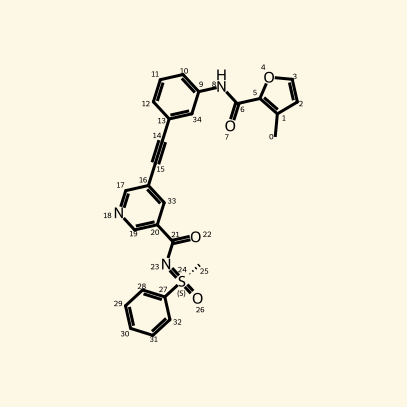 Cc1ccoc1C(=O)Nc1cccc(C#Cc2cncc(C(=O)N=[S@@](C)(=O)c3ccccc3)c2)c1